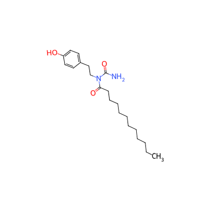 CCCCCCCCCCCC(=O)N(CCc1ccc(O)cc1)C(N)=O